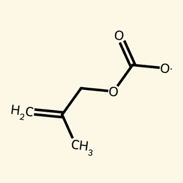 C=C(C)COC([O])=O